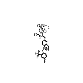 NS(=O)(=O)CN1C(=O)S/C(=C\c2ccc3c(cnn3Cc3ccc(F)cc3C(F)(F)F)c2)C1=O